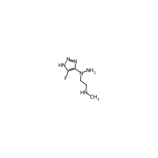 CNCCN(N)c1nn[nH]c1F